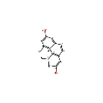 Cc1cc(Br)cc2ccc3c(c12)C(C)CC(Br)=C3